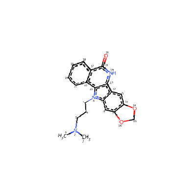 CN(C)CCCn1c2cc3c(cc2c2[nH]c(=O)c4ccccc4c21)OCO3